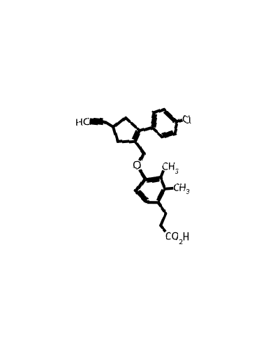 C#CC1CC(COc2ccc(CCC(=O)O)c(C)c2C)=C(c2ccc(Cl)cc2)C1